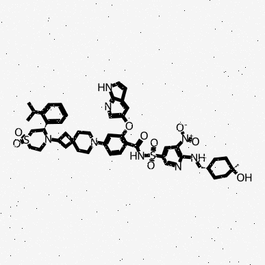 CC(C)c1ccccc1[C@H]1CS(=O)(=O)CCN1C1CC2(CCN(c3ccc(C(=O)NS(=O)(=O)c4cnc(NC[C@H]5CC[C@](C)(O)CC5)c([N+](=O)[O-])c4)c(Oc4cnc5[nH]ccc5c4)c3)CC2)C1